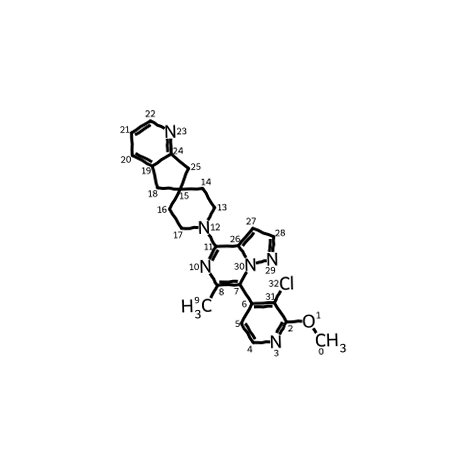 COc1nccc(-c2c(C)nc(N3CCC4(CC3)Cc3cccnc3C4)c3ccnn23)c1Cl